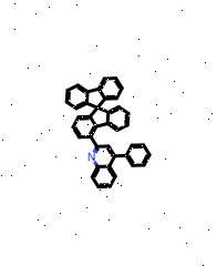 c1ccc(-c2cc(-c3cccc4c3-c3ccccc3C43c4ccccc4-c4ccccc43)nc3ccccc23)cc1